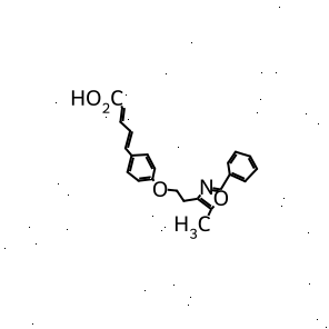 Cc1oc(-c2ccccc2)nc1CCOc1ccc(C=C/C=C/C(=O)O)cc1